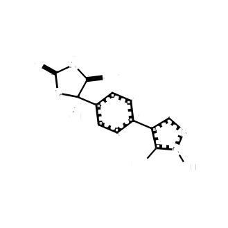 Cn1ncc(-c2ccc([C@@]3(C)NC(=O)NC3=O)cc2)c1C(F)(F)F